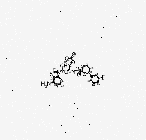 C[C@@H](O[C@H](COP1(=O)OCC[C@@H](c2cccc(F)c2)O1)[C@@H]1COC(=O)O1)n1cnc2c(N)ncnc21